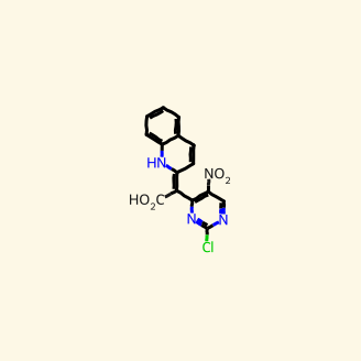 O=C(O)C(=C1C=Cc2ccccc2N1)c1nc(Cl)ncc1[N+](=O)[O-]